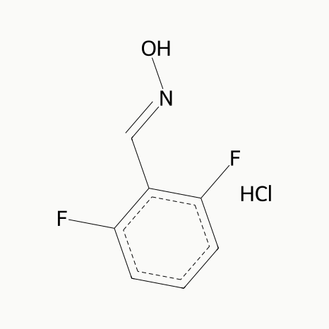 Cl.ON=Cc1c(F)cccc1F